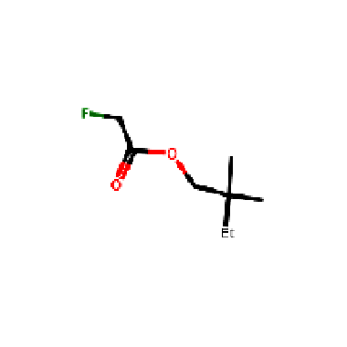 CCC(C)(C)COC(=O)CF